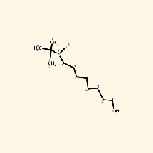 CC(C)(C)N(I)CCCCCCCCO